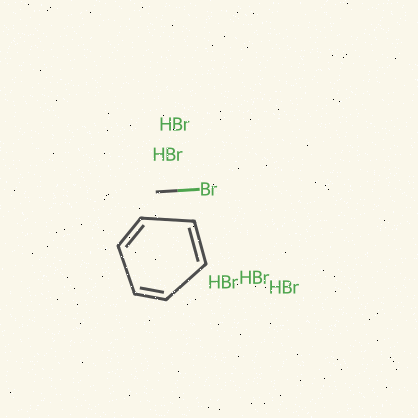 Br.Br.Br.Br.Br.CBr.c1ccccc1